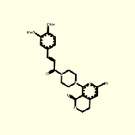 COc1ccc(C=CC(=O)N2CCN(c3nc(C(C)C)cc4c3C(=O)OCC4)CC2)cc1OC